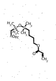 C=CC(=O)OCCCC[Si](C)(C)O[Si](C)(C)[CH]CCCCCCCCCC